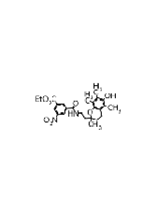 CCOC(=O)c1cc(C(=O)NCCC2(C)CCc3c(C)c(O)c(C)c(C)c3O2)cc([N+](=O)[O-])c1